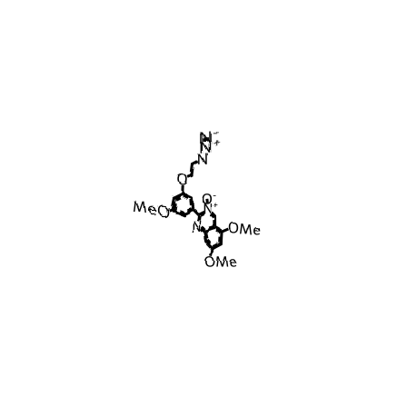 COc1cc(OCCN=[N+]=[N-])cc(-c2nc3cc(OC)cc(OC)c3c[n+]2[O-])c1